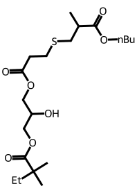 CCCCOC(=O)C(C)CSCCC(=O)OCC(O)COC(=O)C(C)(C)CC